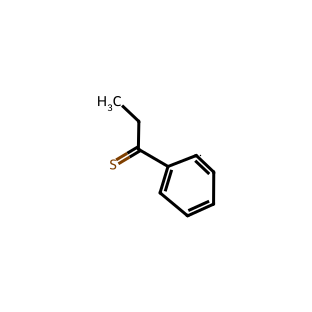 CCC(=S)c1[c]cccc1